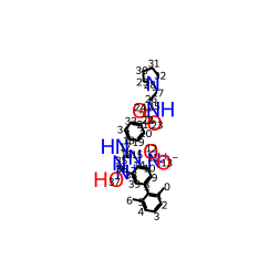 Cc1cccc(C)c1-c1cc([N+](=O)[O-])c2nc(Nc3ccc(S(=O)(=O)NCCN4CCCC4)cc3)n[n+](O)c2c1